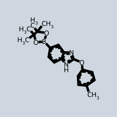 Cc1ccc(Oc2nc3cc(B4OC(C)(C)C(C)(C)O4)ccc3[nH]2)cc1